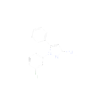 Nc1cc(-c2ccccc2)n(-c2cccc(Cl)c2)n1